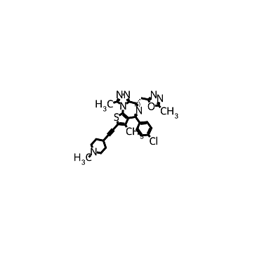 Cc1nnc(C[C@@H]2N=C(c3ccc(Cl)cc3)c3c(sc(C#CC4CCN(C)CC4)c3C)-n3c(C)nnc32)o1